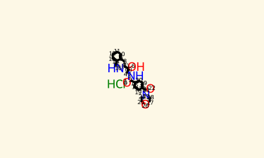 Cl.O=C(NC[C@H](O)[C@@H]1Cc2ccccc2CN1)c1ccc(C(=O)N2CCOCC2)cc1